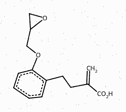 C=C(CCc1ccccc1OCC1CO1)C(=O)O